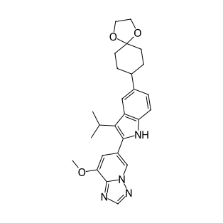 COc1cc(-c2[nH]c3ccc(C4CCC5(CC4)OCCO5)cc3c2C(C)C)cn2ncnc12